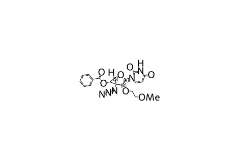 COCCO[C@H]1[C@H](n2ccc(=O)[nH]c2=O)O[C@@H]2C(OC(=O)c3ccccc3)C21N=[N+]=[N-]